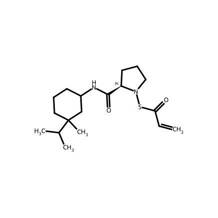 C=CC(=O)SN1CCC[C@@H]1C(=O)NC1CCCC(C)(C(C)C)C1